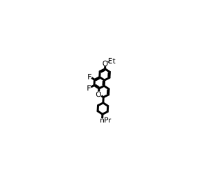 CCCC1CCC(C2C=Cc3c(c(F)c(F)c4cc(OCC)ccc34)O2)CC1